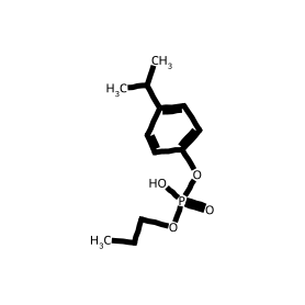 CCCOP(=O)(O)Oc1ccc(C(C)C)cc1